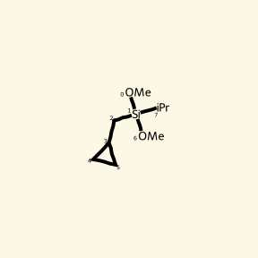 CO[Si]([CH]C1CC1)(OC)C(C)C